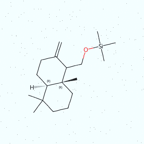 C=C1CC[C@@H]2C(C)(C)CCC[C@@]2(C)C1CO[Si](C)(C)C